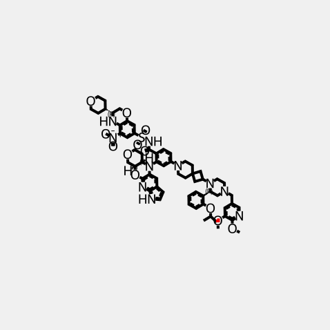 COc1cc(CN2CCN(C3CC4(CCN(c5ccc(C(=O)NS(=O)(=O)c6cc7c(c([N+](=O)[O-])c6)N[C@H](C6CCOCC6)CO7)c(N6c7cc8cc[nH]c8nc7O[C@H]7COCC[C@@H]76)c5)CC4)C3)[C@H](c3ccccc3OC(C)C)C2)cnc1OC